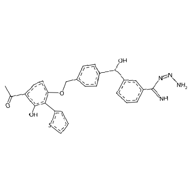 CC(=O)c1ccc(OCc2ccc(C(O)c3cccc(C(=N)/N=N\N)c3)cc2)c(-c2cccs2)c1O